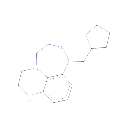 c1cc2c3c(c1)C(CC1CCCC1)NCCN3CCN2